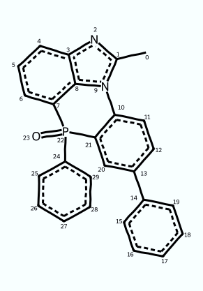 Cc1nc2cccc3c2n1-c1ccc(-c2ccccc2)cc1P3(=O)c1ccccc1